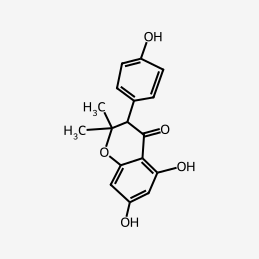 CC1(C)Oc2cc(O)cc(O)c2C(=O)C1c1ccc(O)cc1